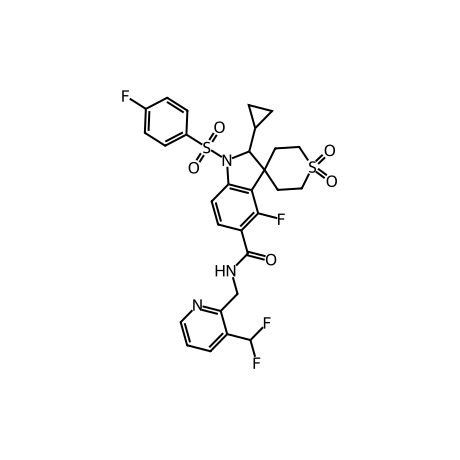 O=C(NCc1ncccc1C(F)F)c1ccc2c(c1F)C1(CCS(=O)(=O)CC1)C(C1CC1)N2S(=O)(=O)c1ccc(F)cc1